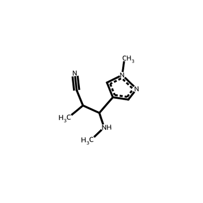 CNC(c1cnn(C)c1)C(C)C#N